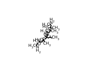 CCCCC(CC)(COC(C)CC(C)OC(C)(CC)CC(C)N)COC(C)(CC)CC(C)OCC(C)N